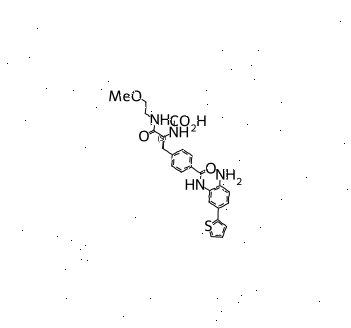 COCCNC(=O)[C@H](Cc1ccc(C(=O)Nc2cc(-c3cccs3)ccc2N)cc1)NC(=O)O